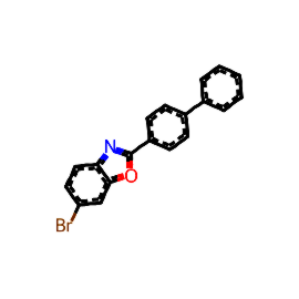 Brc1ccc2nc(-c3ccc(-c4ccccc4)cc3)oc2c1